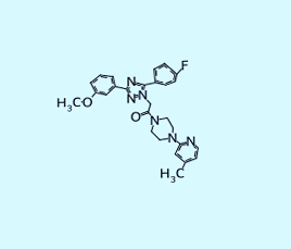 COc1cccc(-c2nc(-c3ccc(F)cc3)n(CC(=O)N3CCN(c4cc(C)ccn4)CC3)n2)c1